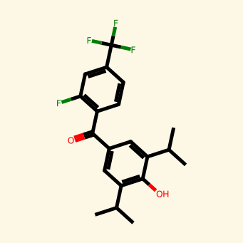 CC(C)c1cc(C(=O)c2ccc(C(F)(F)F)cc2F)cc(C(C)C)c1O